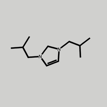 CC(C)CN1C=CN(CC(C)C)C1